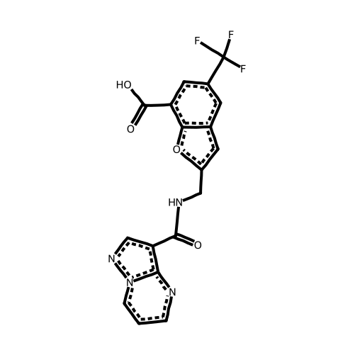 O=C(O)c1cc(C(F)(F)F)cc2cc(CNC(=O)c3cnn4cccnc34)oc12